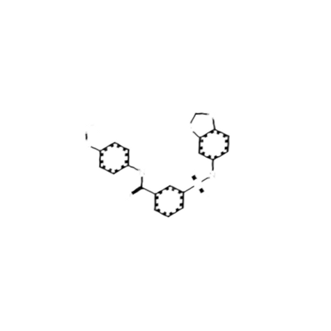 O=C(Nc1ccc(OC(F)(F)F)cc1)c1cccc(S(=O)(=O)Nc2ccc3c(c2)OCO3)c1